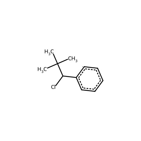 CC(C)(C)C(Cl)c1[c]cccc1